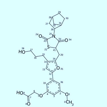 COc1cc(OCC(=O)O)cc(-c2cc(CCCO)c(CC3SC(=O)N(C4CC5CCC4C5)C3=O)o2)c1